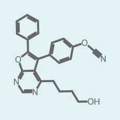 N#COc1ccc(-c2c(-c3ccccc3)oc3ncnc(CCCCO)c23)cc1